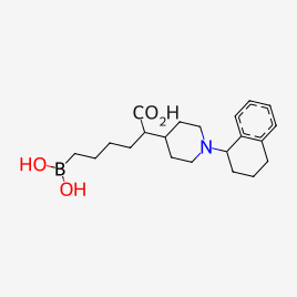 O=C(O)C(CCCCB(O)O)C1CCN(C2CCCc3ccccc32)CC1